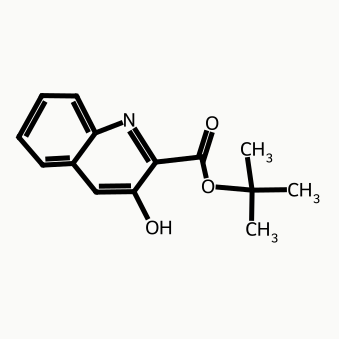 CC(C)(C)OC(=O)c1nc2ccccc2cc1O